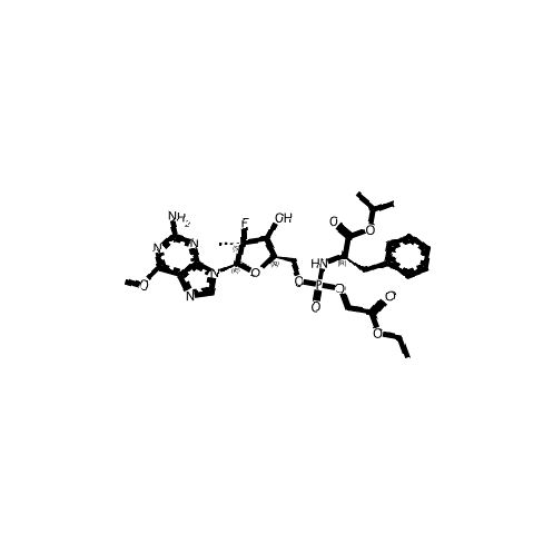 CCOC(=O)COP(=O)(N[C@H](Cc1ccccc1)C(=O)OC(C)C)OC[C@H]1O[C@@H](n2cnc3c(OC)nc(N)nc32)[C@@](C)(F)C1O